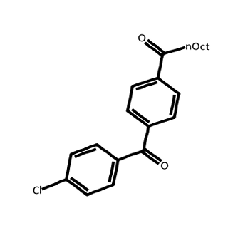 CCCCCCCCC(=O)c1ccc(C(=O)c2ccc(Cl)cc2)cc1